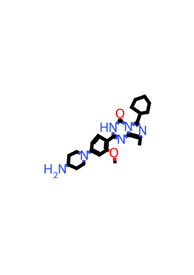 COc1cc(N2CCC(N)CC2)ccc1-c1nc2c(C)nc(C3CCCCC3)n2c(=O)[nH]1